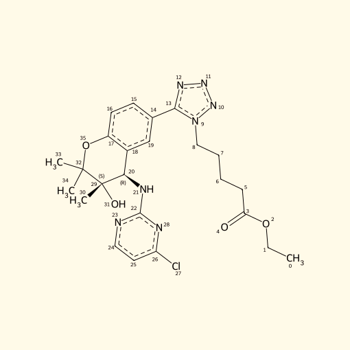 CCOC(=O)CCCCn1nnnc1-c1ccc2c(c1)[C@@H](Nc1nccc(Cl)n1)[C@](C)(O)C(C)(C)O2